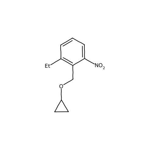 CCc1cccc([N+](=O)[O-])c1COC1CC1